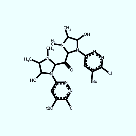 CC1C(O)N(c2cc(C(C)(C)C)c(Cl)nn2)C(C(=O)C2N(C)C(C)C(O)N2c2cc(C(C)(C)C)c(Cl)nn2)N1C